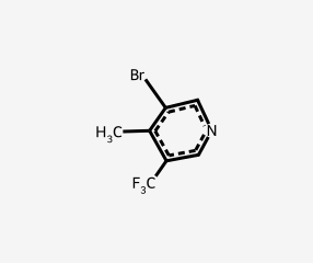 Cc1c(Br)cncc1C(F)(F)F